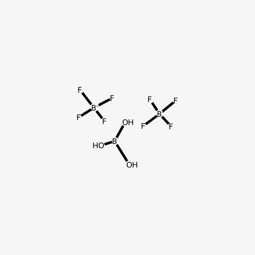 F[B-](F)(F)F.F[B-](F)(F)F.OB(O)O